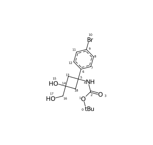 CC(C)(C)OC(=O)NC1(c2ccc(Br)cc2)CC(O)(CO)C1